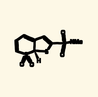 CNS(=O)(=O)C1=CC2=CC=CS(=O)(=O)[C@@H]2S1